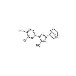 Oc1ccc(-c2cn(C3CN4CCC3CC4)nc2O)cc1Cl